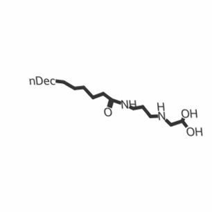 CCCCCCCCCCCCCCCC(=O)NCCCNCC(O)O